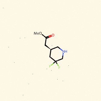 COC(=O)C[C@H]1CNCC(F)(F)C1